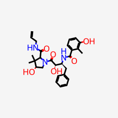 C=CCNC(=O)C1N(C(=O)[C@@H](O)[C@H](Cc2ccccc2)NC(=O)c2cccc(O)c2C)C[C@@H](O)C1(C)C